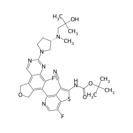 CN(CC(C)(C)O)[C@H]1CCN(c2ncc3c4c(c(-c5ncc(F)c6sc(NC(=O)OC(C)(C)C)c(C#N)c56)c(F)c3n2)COC4)C1